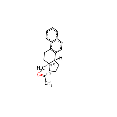 CC(=O)[C@H]1CC[C@H]2c3ccc4ccccc4c3CC[C@]12C